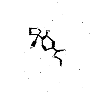 CCOC(=O)c1ccc(C2(C#N)CCOC2)c(Cl)c1